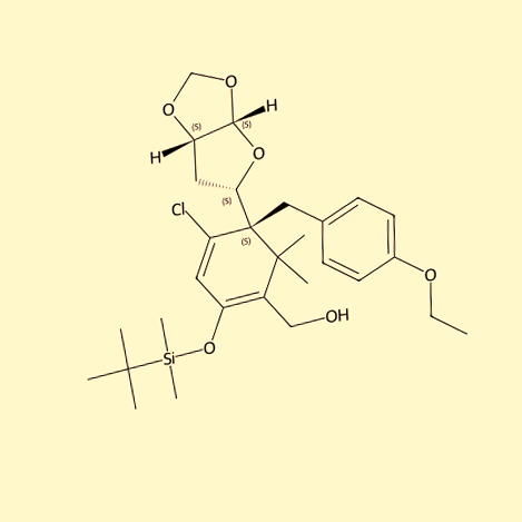 CCOc1ccc(C[C@]2([C@@H]3C[C@@H]4OCO[C@@H]4O3)C(Cl)=CC(O[Si](C)(C)C(C)(C)C)=C(CO)C2(C)C)cc1